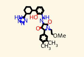 COCCN1C(=O)/C(=N\Nc2cccc(C3CCCC(c4nnn[nH]4)C3)c2O)C(=O)C1c1ccc(C)c(C)c1